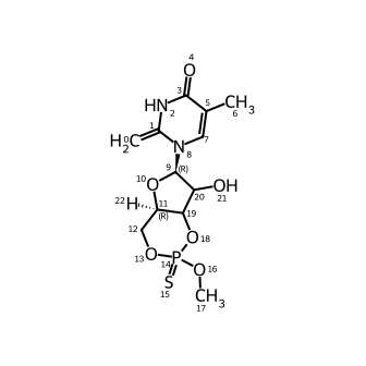 C=C1NC(=O)C(C)=CN1[C@@H]1O[C@@H]2COP(=S)(OC)OC2C1O